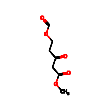 COC(=O)CC(=O)CCOC=O